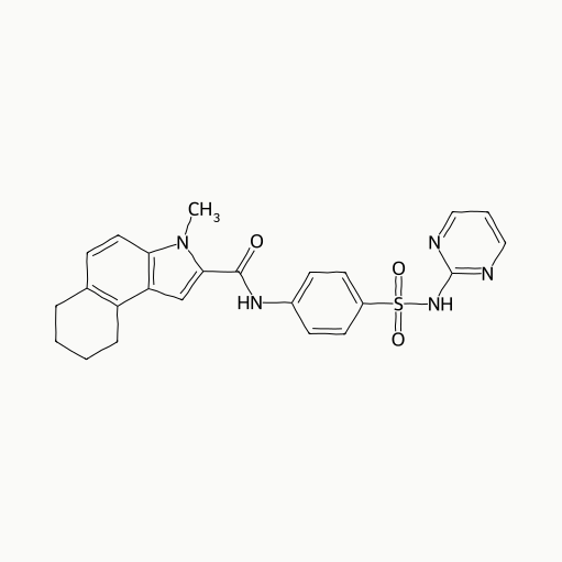 Cn1c(C(=O)Nc2ccc(S(=O)(=O)Nc3ncccn3)cc2)cc2c3c(ccc21)CCCC3